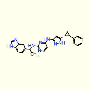 C[C@H](Nc1nccc(Nc2cc([C@@H]3C[C@H]3c3ccccc3)[nH]n2)n1)c1ccc2[nH]cnc2c1